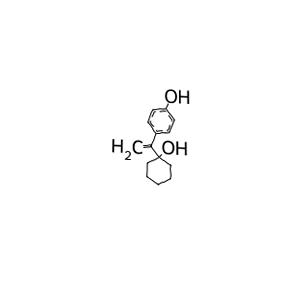 C=C(c1ccc(O)cc1)C1(O)CCCCC1